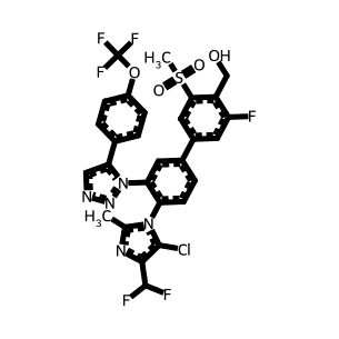 Cc1nc(C(F)F)c(Cl)n1-c1ccc(-c2cc(F)c(CO)c(S(C)(=O)=O)c2)cc1-n1nncc1-c1ccc(OC(F)(F)F)cc1